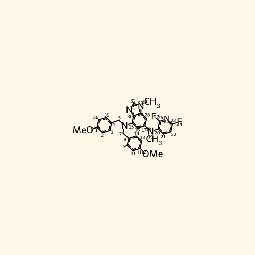 COc1ccc(CN(Cc2ccc(OC)cc2)c2cc(N(C)c3ccc(F)nc3F)cc3c2ncn3C)cc1